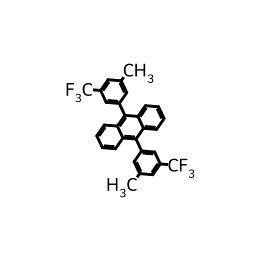 Cc1cc(-c2c3ccccc3c(-c3cc(C)cc(C(F)(F)F)c3)c3ccccc23)cc(C(F)(F)F)c1